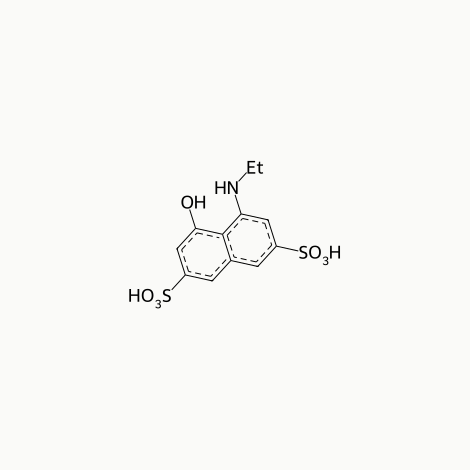 CCNc1cc(S(=O)(=O)O)cc2cc(S(=O)(=O)O)cc(O)c12